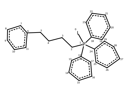 IP(CCCCc1ccccc1)(c1ccccc1)(c1ccccc1)c1ccccc1